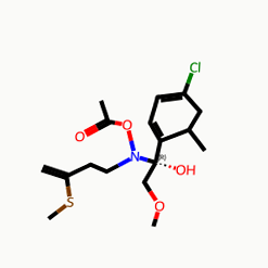 C=C(CCN(OC(C)=O)[C@](O)(COC)C1=CC=C(Cl)CC1C)SC